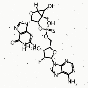 Nc1nc2c(ncn2[C@@H]2O[C@@H]3C(O)[C@]3(F)[C@H]2OP(O)(=S)OC[C@H]2O[C@@H](n3nnc4c(N)ncnc43)[C@@H](F)[C@@H]2O)c(=O)[nH]1